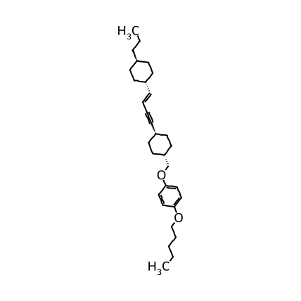 CCCCCOc1ccc(OC[C@H]2CC[C@H](C#CC=C[C@H]3CC[C@H](CCC)CC3)CC2)cc1